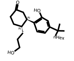 CCCCCCC(C)(C)c1ccc([C@@H]2CC(=O)CC[C@H]2CCCO)c(O)c1